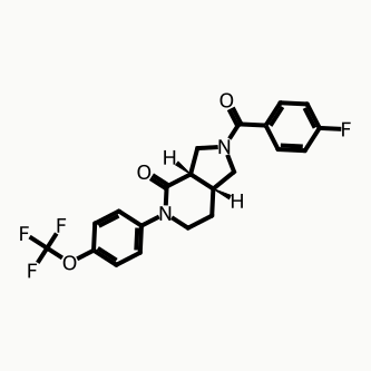 O=C(c1ccc(F)cc1)N1C[C@@H]2CCN(c3ccc(OC(F)(F)F)cc3)C(=O)[C@@H]2C1